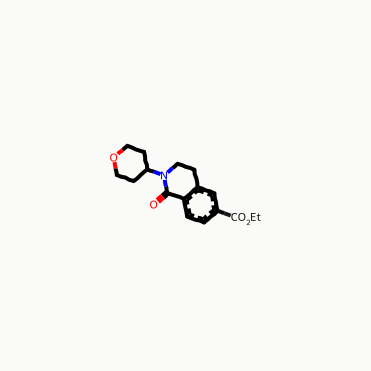 CCOC(=O)c1ccc2c(c1)CCN(C1CCOCC1)C2=O